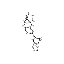 c1cc2c(cc1-c1cc3c(cn1)C1CCC3C1)CC1CCC3CC2CC1C3